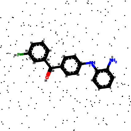 Nc1ccccc1Nc1ccc(C(=O)c2cccc(F)c2)cc1